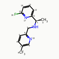 C[C@@H](NCc1ccc(C(F)(F)F)cn1)c1cccc(F)n1